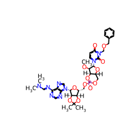 CO[C@@H]1[C@@H]2O[P@](=O)(OC[C@H]3O[C@@H](n4cnc5c(/N=C/N(C)C)ncnc54)[C@@H]4OC(C)(C)O[C@@H]43)OC[C@H]2O[C@H]1n1ccc(=O)n(COCc2ccccc2)c1=O